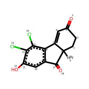 CCCC12CCC(=O)C=C1c1c(cc(O)c(Cl)c1Cl)C2=O